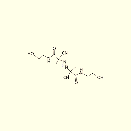 [C-]#[N+]C(C)(/N=N/C(C)(C#N)C(=O)NCCO)C(=O)NCCO